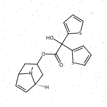 CN1C2C=C[C@@H]1CC(OC(=O)C(O)(c1cccs1)c1cccs1)C2